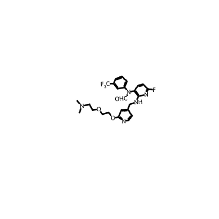 CN(C)CCOCCOc1cc(CNc2nc(F)ccc2N(C=O)c2cccc(C(F)(F)F)c2)ccn1